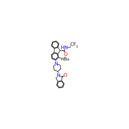 CCCCc1c(N2CCC(N3Cc4ccccc4C3=O)CC2)ccc2c1C(C(=O)NCC(F)(F)F)c1ccccc1-2